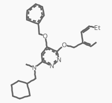 C/C=C(\C=C/CC)COc1nnc(N(C)CC2CCCCC2)cc1OCc1ccccc1